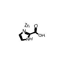 O=C(O)c1ncc[nH]1.[Zn]